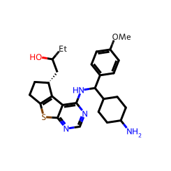 CCC(O)C[C@H]1CCc2sc3ncnc(NC(c4ccc(OC)cc4)C4CCC(N)CC4)c3c21